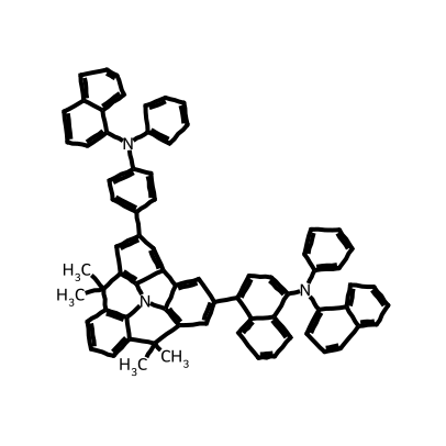 CC1(C)c2cccc3c2-n2c4c1cc(-c1ccc(N(c5ccccc5)c5cccc6ccccc56)cc1)cc4c1cc(-c4ccc(N(c5ccccc5)c5cccc6ccccc56)c5ccccc45)cc(c12)C3(C)C